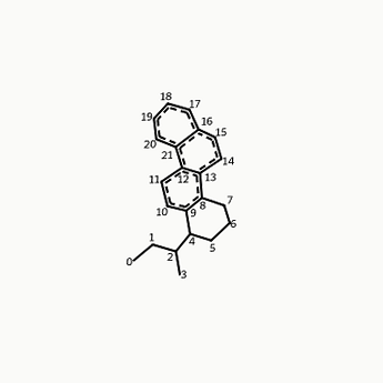 CCC(C)C1CCCc2c1ccc1c2ccc2ccccc21